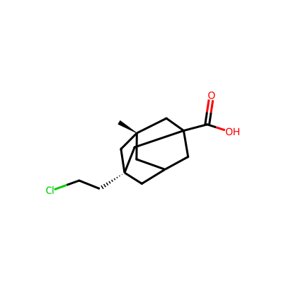 C[C@]12CC3CC(C(=O)O)(C1)C[C@@](CCCl)(C3)C2